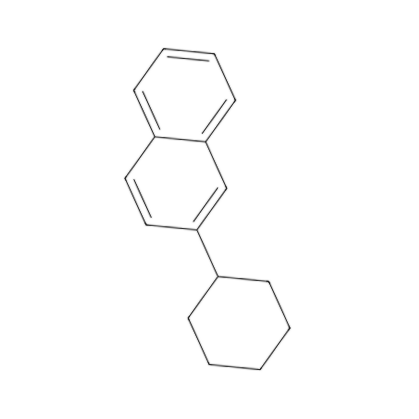 c1ccc2cc(C3CCCCC3)ccc2c1